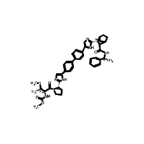 COC(=O)N[C@H](C(=O)N1CCC[C@H]1c1ncc(-c2ccc(-c3ccc(-c4cnc([C@@H]5C6CCC(C6)C5C(=O)N[C@@H](C)c5ccccc5)[nH]4)cc3)cc2)[nH]1)[C@@H](C)OC